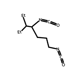 CCC(CC)C(CCCN=C=O)N=C=O